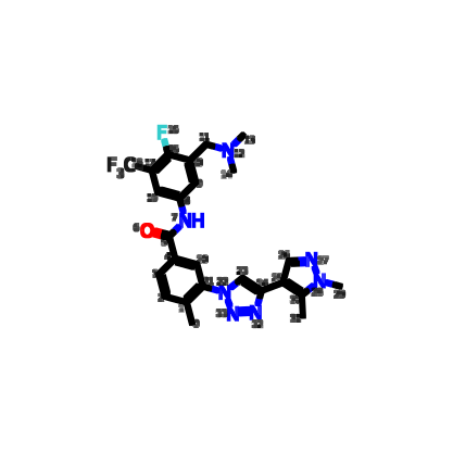 Cc1ccc(C(=O)Nc2cc(CN(C)C)c(F)c(C(F)(F)F)c2)cc1-n1cc(-c2cnn(C)c2C)nn1